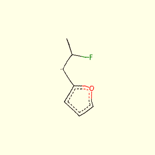 CC(F)[CH]c1ccco1